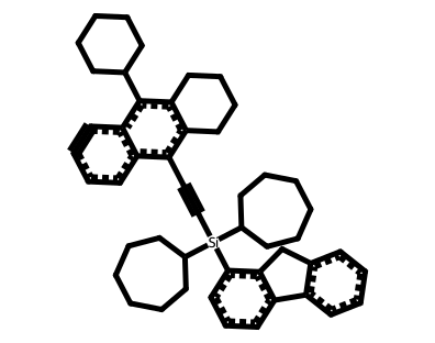 C(#C[Si](c1cccc2c1Cc1ccccc1-2)(C1CCCCCC1)C1CCCCCC1)c1c2c(c(C3CCCCC3)c3c#cccc13)CCCC2